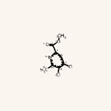 COC(=O)c1cc(Cl)c(Cl)c(C)n1